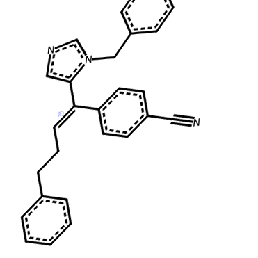 N#Cc1ccc(/C(=C\CCc2ccccc2)c2cncn2Cc2ccccc2)cc1